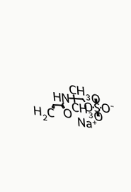 C=CC(=O)NC(C)(C)COS(=O)(=O)[O-].[Na+]